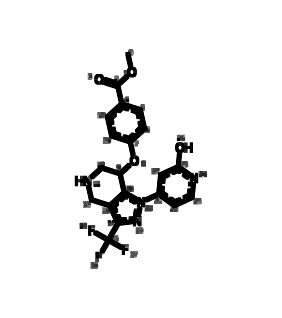 COC(=O)c1ccc(OC2CNCc3c(C(F)(F)F)nn(-c4ccnc(O)c4)c32)cc1